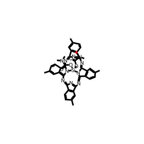 Cc1ccc2c(c1)C1=NC/2=N\c2c3cc(C)ccc3c3n2[Si](OC(=O)N(C)C)(OC(=O)N(C)C)n2/c(c4ccc(C)cc4/c2=N/C2=NC(=N\3)/c3cc(C)ccc32)=N\1